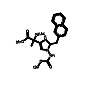 COC(=O)C(C)(NC(C)=O)C1=CN(NC(=O)OC(C)(C)C)C(Cc2ccc3ccccc3c2)N1